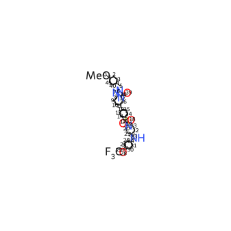 COc1ccc(Cn2nc3ccc(-c4ccc(S(=O)(=O)N5CCC(Nc6ccc(OC(F)(F)F)cc6)CC5)cc4)cn3c2=O)cc1